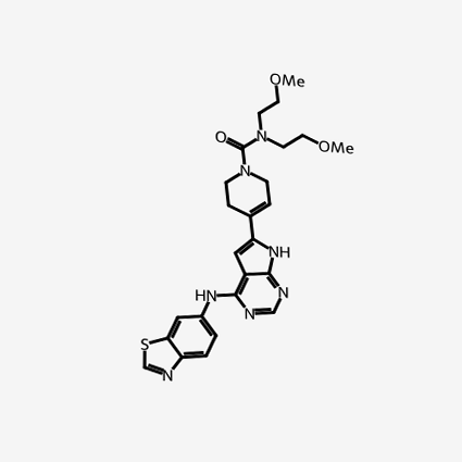 COCCN(CCOC)C(=O)N1CC=C(c2cc3c(Nc4ccc5ncsc5c4)ncnc3[nH]2)CC1